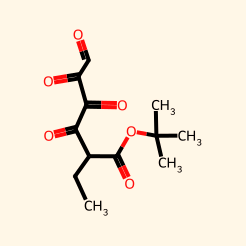 CCC(C(=O)OC(C)(C)C)C(=O)C(=O)C(=O)C=O